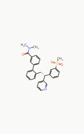 CN(C)C(=O)c1cccc(-c2ccccc2C[C@@H](c2cccnc2)c2cccc(S(C)(=O)=O)c2)c1